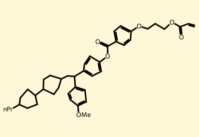 C=CC(=O)OCCCOc1ccc(C(=O)Oc2ccc(C(CC3CCC(C4CCC(CCC)CC4)CC3)c3ccc(OC)cc3)cc2)cc1